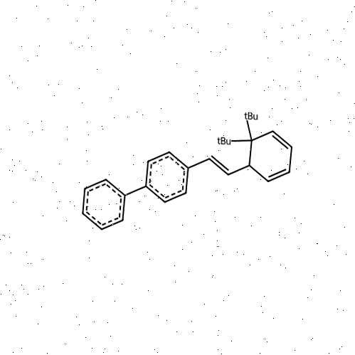 CC(C)(C)C1(C(C)(C)C)C=CC=CC1C=Cc1ccc(-c2ccccc2)cc1